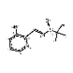 CC(C)(C)[S@+]([O-])N=Cc1ncccc1Br